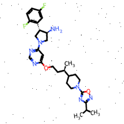 CC(C)c1noc(N2CCC([C@H](C)CCOc3cc(N4C[C@H](c5cc(F)ccc5F)[C@@H](N)C4)ncn3)CC2)n1